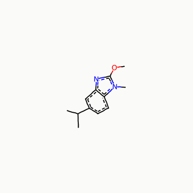 COc1nc2cc(C(C)C)ccc2n1C